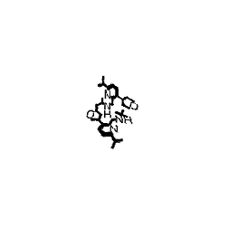 CC(CC1CC(c2ccc(C(C)C)nc2CNC(C)(C)C)CO1)NCc1nc(C(C)C)ccc1C1CCOCC1